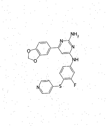 Nc1nc(Nc2ccc(Sc3ccncc3)c(F)c2)cc(-c2ccc3c(c2)OCO3)n1